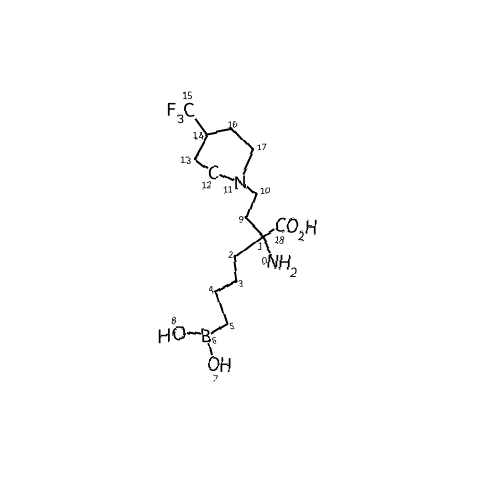 NC(CCCCB(O)O)(CCN1CCC(C(F)(F)F)CC1)C(=O)O